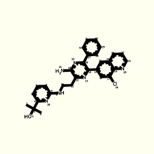 CC(C)(O)c1cccc(NCCc2nc(-c3cc(Cl)c4ncccc4c3)c(-c3ccccc3)nc2N)n1